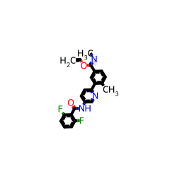 C=CO/C(=N\C)c1ccc(C)c(-c2ccc(NC(=O)c3c(F)cccc3F)cn2)c1